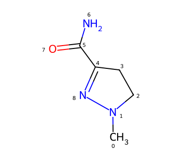 CN1CCC(C(N)=O)=N1